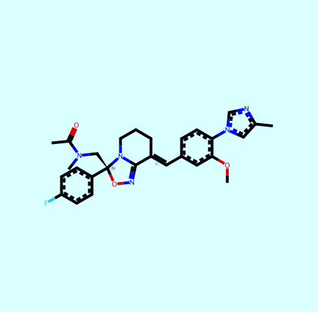 COc1cc(/C=C2\CCCN3C2=NO[C@]3(CN(C)C(C)=O)c2ccc(F)cc2)ccc1-n1cnc(C)c1